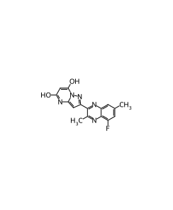 Cc1cc(F)c2nc(C)c(-c3cc4nc(O)cc(O)n4n3)nc2c1